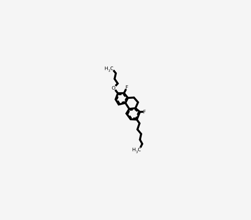 CCCCCCc1ccc2c(c1F)CCc1c-2ccc(OCCCC)c1F